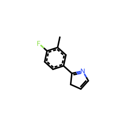 Cc1cc(C2=NC=CC2)ccc1F